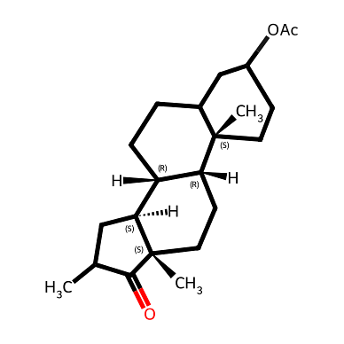 CC(=O)OC1CC[C@@]2(C)C(CC[C@@H]3[C@H]2CC[C@]2(C)C(=O)C(C)C[C@@H]32)C1